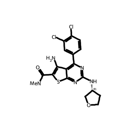 CNC(=O)c1sc2nc(N[C@@H]3CCOC3)nc(-c3ccc(Cl)c(Cl)c3)c2c1N